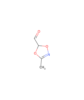 CC1=NOC(C=O)O1